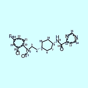 O=CN(CC[C@H]1CC[C@@H](NC(=O)c2ccncn2)CC1)c1ccc(F)cc1Cl